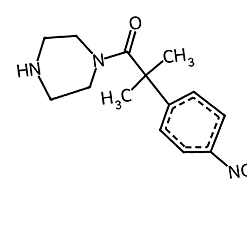 CC(C)(C(=O)N1CCNCC1)c1ccc([N+](=O)[O-])cc1